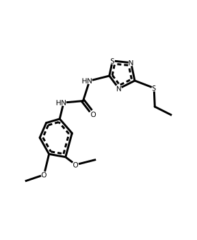 CCSc1nsc(NC(=O)Nc2ccc(OC)c(OC)c2)n1